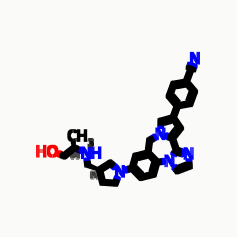 C[C@H](CO)NC[C@@H]1CCN(c2ccc3c(c2)Cn2cc(-c4ccc(C#N)cc4)cc2-c2nccn2-3)C1